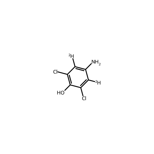 [2H]c1c(N)c([2H])c(Cl)c(O)c1Cl